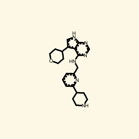 c1cc(CNc2ncnc3[nH]cc(C4CCOCC4)c23)nc(C2CCNCC2)c1